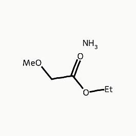 CCOC(=O)COC.N